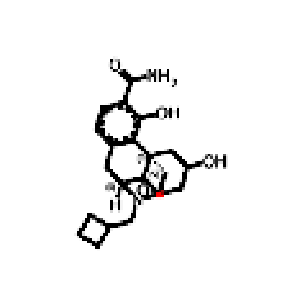 NC(=O)c1ccc2c(c1O)[C@]13CCN(CC4CCC4)[C@H](C2)[C@]1(O)CCC(O)C3